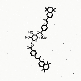 CO[C@H]1O[C@H](COC(=O)c2ccc(/C=C(\C)c3ccc4c(c3)C(C)(C)CCC4(C)C)cc2)[C@@H](O)[C@H](O)[C@H]1OC(=O)c1ccc(/C=C(\C)c2ccc3c(c2)C(C)(C)CCC3(C)C)cc1